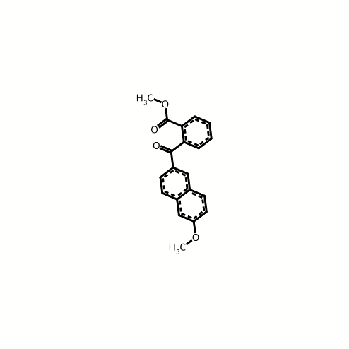 COC(=O)c1ccccc1C(=O)c1ccc2cc(OC)ccc2c1